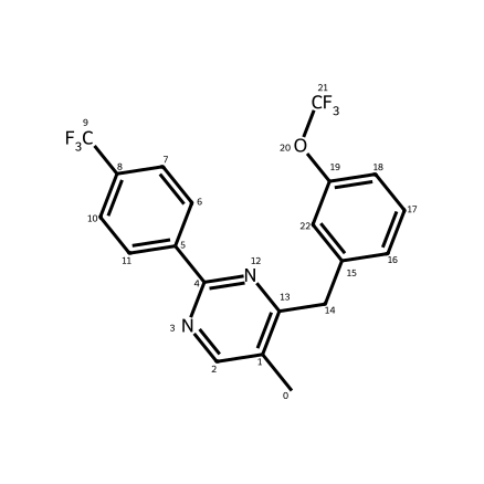 Cc1cnc(-c2ccc(C(F)(F)F)cc2)nc1Cc1cccc(OC(F)(F)F)c1